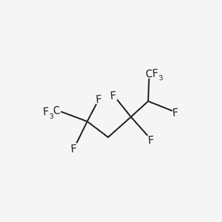 FC(C(F)(F)F)C(F)(F)CC(F)(F)C(F)(F)F